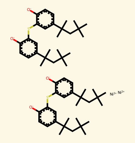 CC(C)(C)CC(C)(C)c1ccc([O-])c(Sc2cc(C(C)(C)CC(C)(C)C)ccc2[O-])c1.CC(C)(C)CC(C)(C)c1ccc([O-])c(Sc2cc(C(C)(C)CC(C)(C)C)ccc2[O-])c1.[Ni+2].[Ni+2]